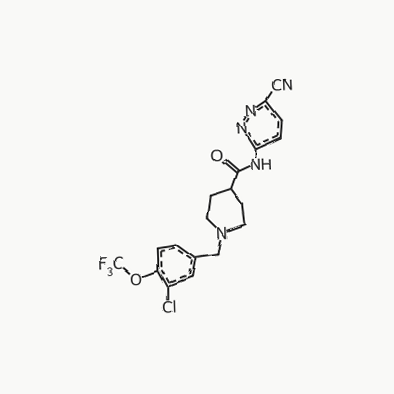 N#Cc1ccc(NC(=O)C2CCN(Cc3ccc(OC(F)(F)F)c(Cl)c3)CC2)nn1